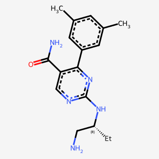 CC[C@H](CN)Nc1ncc(C(N)=O)c(-c2cc(C)cc(C)c2)n1